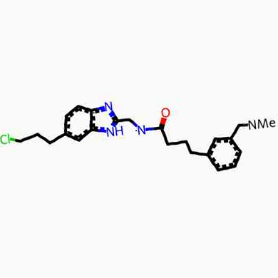 CNCc1cccc(CCCC(=O)[N]Cc2nc3ccc(CCCCl)cc3[nH]2)c1